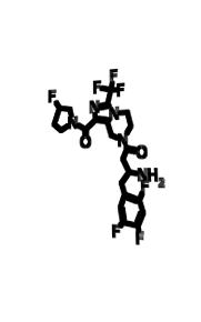 NC(CC(=O)N1CCn2c(C(F)(F)F)nc(C(=O)N3CCC(F)C3)c2C1)Cc1cc(F)c(F)cc1F